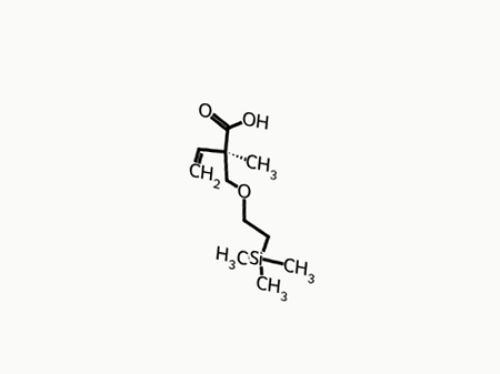 C=C[C@](C)(COCC[Si](C)(C)C)C(=O)O